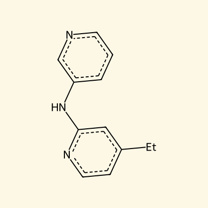 CCc1ccnc(Nc2cccnc2)c1